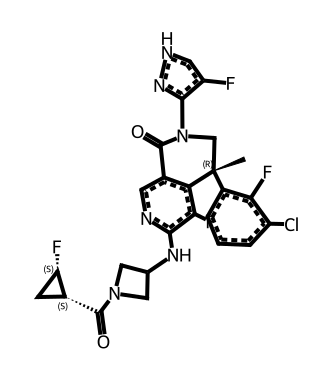 C[C@]1(c2cccc(Cl)c2F)CN(c2n[nH]cc2F)C(=O)c2cnc(NC3CN(C(=O)[C@@H]4C[C@@H]4F)C3)c(F)c21